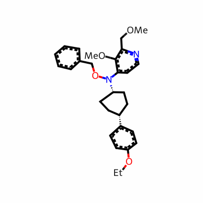 CCOc1ccc([C@H]2CC[C@@H](N(OCc3ccccc3)c3ccnc(COC)c3OC)CC2)cc1